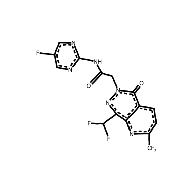 O=C(Cn1nc(C(F)F)c2nc(C(F)(F)F)ccc2c1=O)Nc1ncc(F)cn1